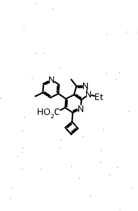 CCn1nc(C)c2c(-c3cncc(C)c3)c(C(=O)O)c(C3=CC=C3)nc21